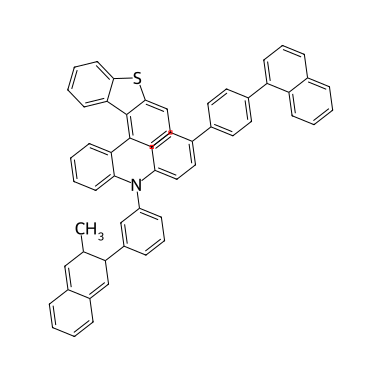 CC1C=c2ccccc2=CC1c1cccc(N(c2ccc(-c3ccc(-c4cccc5ccccc45)cc3)cc2)c2ccccc2-c2cccc3sc4ccccc4c23)c1